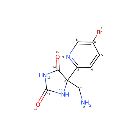 NCC1(c2ccc(Br)cn2)NC(=O)NC1=O